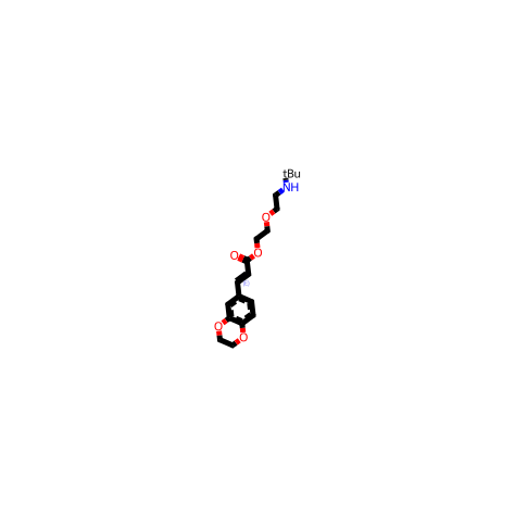 CC(C)(C)NCCOCCOC(=O)/C=C/c1ccc2c(c1)OCCO2